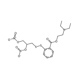 CCN(CC)CCOC(=O)c1ccccc1SSCC(CO[N+](=O)[O-])O[N+](=O)[O-]